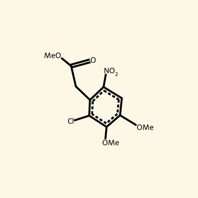 COC(=O)Cc1c([N+](=O)[O-])cc(OC)c(OC)c1Cl